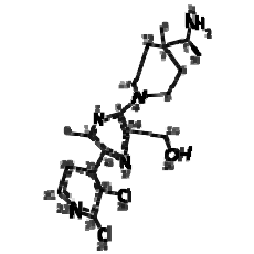 Cc1nc(N2CCC(C)([C@H](C)N)CC2)c(CO)nc1-c1ccnc(Cl)c1Cl